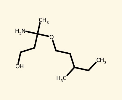 CCC(C)CCOC(C)(N)CCO